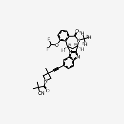 [2H]C([2H])([2H])N1C(=O)c2cccc(OC(F)F)c2[C@H]2C[C@@H]1c1nc3ccc(C#CC4(C)CN(C(=O)C(C)(C)C#N)C4)cc3n12